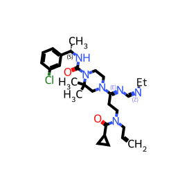 C=CCN(CC/C(=N\C=N/CC)N1CCN(C(=O)N[C@@H](C)c2cccc(Cl)c2)C(C)(C)C1)C(=O)C1CC1